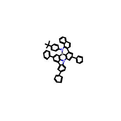 CC(C)(C)c1ccc(N2B3c4c(cc(-c5ccccc5)cc4-n4c5ccc(-c6ccccc6)cc5c5cc(-c6ccccc6)cc3c54)-c3ccc4ccccc4c32)cc1